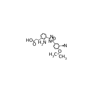 CC(C)Oc1ccc(-c2nc(-c3cccc(CCC(=O)O)c3N)no2)cc1C#N